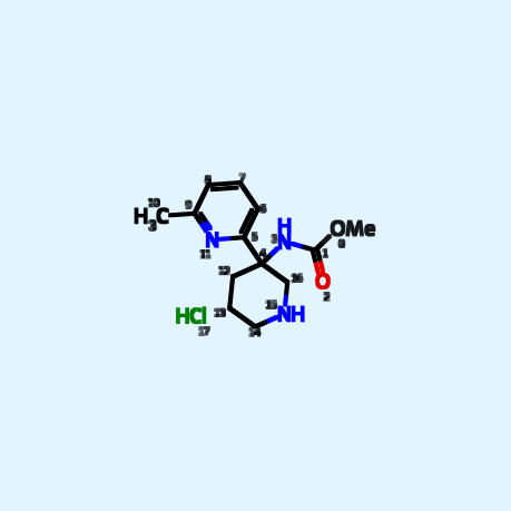 COC(=O)NC1(c2cccc(C)n2)CCCNC1.Cl